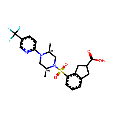 C[C@H]1CN(S(=O)(=O)c2cccc3c2CC(C(=O)O)C3)[C@@H](C)CN1c1ccc(C(F)(F)F)cn1